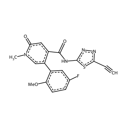 C#Cc1nnc(NC(=O)c2cc(=O)n(C)cc2-c2cc(F)ccc2OC)s1